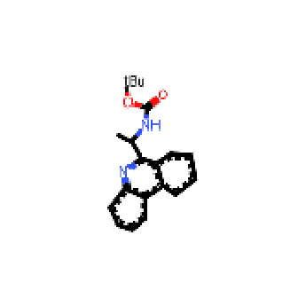 CC(NC(=O)OC(C)(C)C)c1nc2ccccc2c2ccccc12